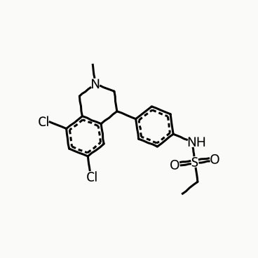 CCS(=O)(=O)Nc1ccc(C2CN(C)Cc3c(Cl)cc(Cl)cc32)cc1